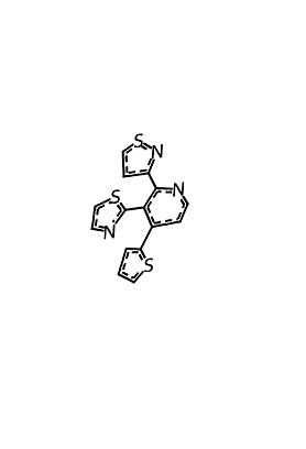 c1csc(-c2ccnc(-c3ccsn3)c2-c2nccs2)c1